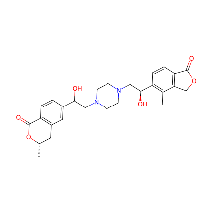 Cc1c([C@@H](O)CN2CCN(CC(O)c3ccc4c(c3)C[C@H](C)OC4=O)CC2)ccc2c1COC2=O